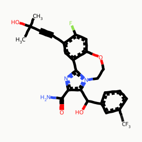 CC(C)(O)C#Cc1cc2c(cc1F)OCCn1c-2nc(C(N)=O)c1C(O)c1cccc(C(F)(F)F)c1